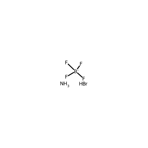 Br.F[B-](F)(F)F.N